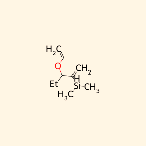 C=COC(CC)C(=C)[SiH](C)C